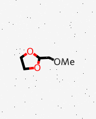 [CH2]OCC1OCCO1